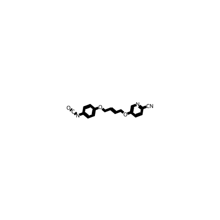 N#Cc1ccc(OC/C=C/COc2ccc(N=C=O)cc2)cn1